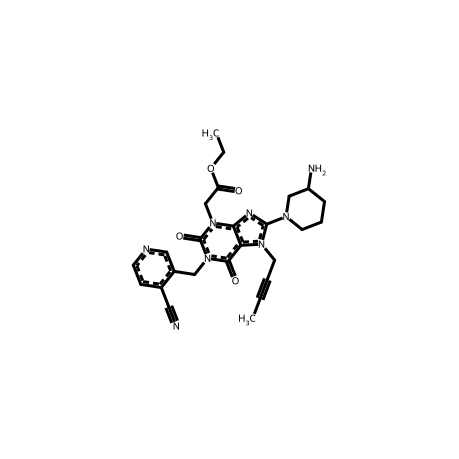 CC#CCn1c(N2CCCC(N)C2)nc2c1c(=O)n(Cc1cnccc1C#N)c(=O)n2CC(=O)OCC